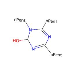 CCCCCC1=NC(O)N(CCCCC)C(CCCCC)=N1